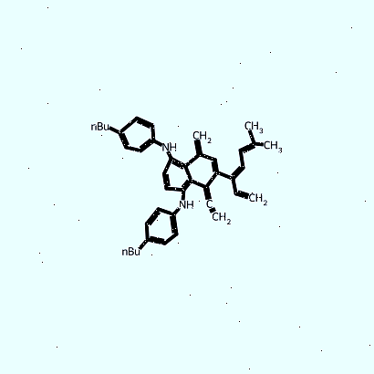 C=C=c1c(/C(C=C)=C\C=C(C)C)cc(=C)c2c(Nc3ccc(CCCC)cc3)ccc(Nc3ccc(CCCC)cc3)c12